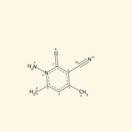 Cc1cc(C)n(N)c(=O)c1C#N